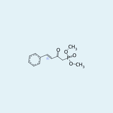 COP(=O)(CC(=O)/C=C/c1ccccc1)OC